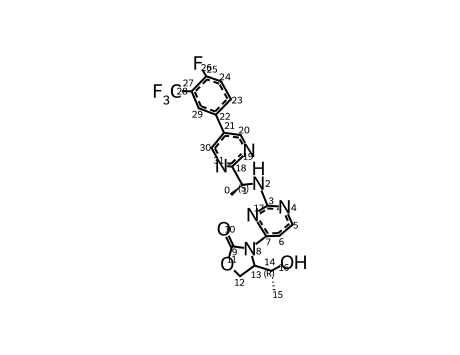 C[C@H](Nc1nccc(N2C(=O)OCC2[C@@H](C)O)n1)c1ncc(-c2ccc(F)c(C(F)(F)F)c2)cn1